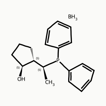 B.C[C@@H]([C@H]1CCC[C@@H]1O)P(c1ccccc1)c1ccccc1